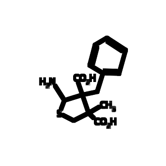 CC1(C(=O)O)CSC(N)C1(Cc1ccccc1)C(=O)O